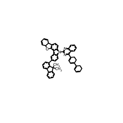 CC1(C)c2ccccc2-c2cccc(-c3ccc4c(c3)c3c5c(ccc3n4-c3nc(C4=CC=C(C6=CC=CCC6)CC4)c4ccccc4n3)C3C=CC=CC3O5)c21